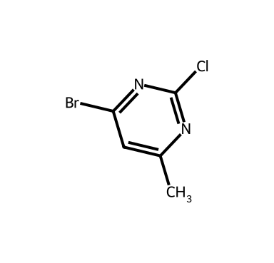 Cc1cc(Br)nc(Cl)n1